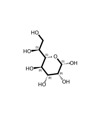 OC[C@H](O)[C@@H]1O[C@H](O)[C@H](O)[C@H](O)[C@H]1O